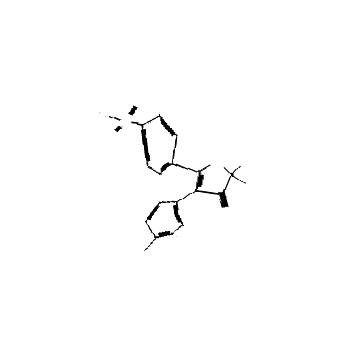 Cc1ccc(C2=C(c3ccc(S(N)(=O)=O)cc3)OC(C)(C)C2=O)cc1